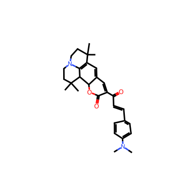 CN(C)c1ccc(/C=C/C(=O)C2=CC3=CC4=C5C(C3OC2=O)C(C)(C)CCN5CCC4(C)C)cc1